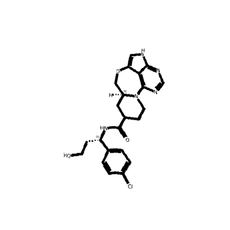 O=C(N[C@@H](CCO)c1ccc(Cl)cc1)C1CCN2c3ncnc4[nH]cc(c34)OC[C@@H]2C1